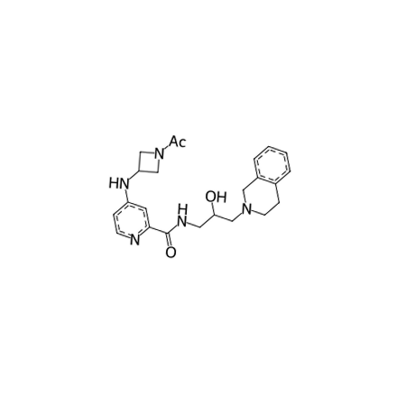 CC(=O)N1CC(Nc2ccnc(C(=O)NCC(O)CN3CCc4ccccc4C3)c2)C1